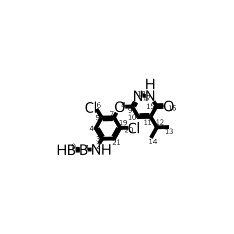 B=BNc1cc(Cl)c(Oc2cc(C(C)C)c(=O)[nH]n2)c(Cl)c1